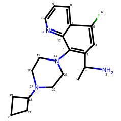 CC(N)c1cc(F)c2cccnc2c1N1CCN(C2CCC2)CC1